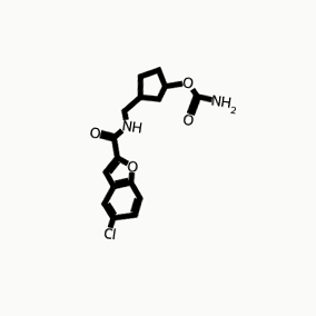 NC(=O)OC1CCC(CNC(=O)c2cc3cc(Cl)ccc3o2)C1